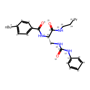 CCCCc1ccc(C(=O)N[C@@H](CNC(=O)Nc2ccccc2)C(=O)N[CH]CC(C)C)cc1